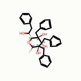 OC(Cc1ccccc1)[C@H]1O[C@H](F)[C@@](O)(Cc2ccccc2)[C@](O)(Cc2ccccc2)[C@@]1(O)Cc1ccccc1